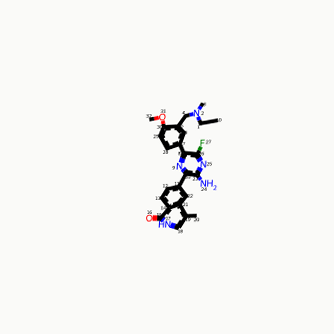 CCN(C)Cc1cc(-c2nc(-c3ccc4c(=O)[nH]cc(C)c4c3)c(N)nc2F)ccc1OC